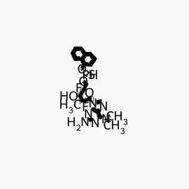 CN(C)c1nc(N)nc2c1ncn2[C@@H]1O[C@](F)(CO[PH](=S)Oc2cccc3ccccc23)[C@@H](O)[C@@]1(C)F